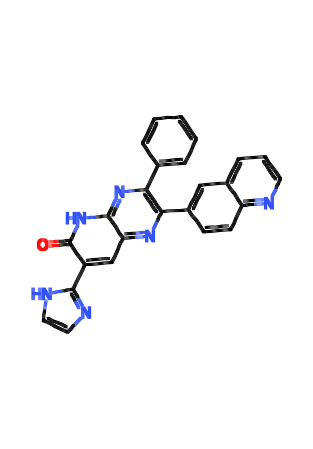 O=c1[nH]c2nc(-c3ccccc3)c(-c3ccc4ncccc4c3)nc2cc1-c1ncc[nH]1